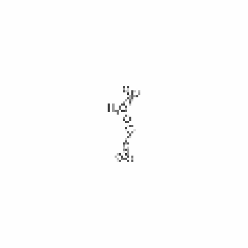 CC1(/C=C/c2ccc(C3=CCC=C(/C=C/c4ccc(-n5c6ccccc6c6ccccc65)cc4)C=C3)cc2)C=CC(n2c3c(c4ccccc42)CCC=C3)=CC1